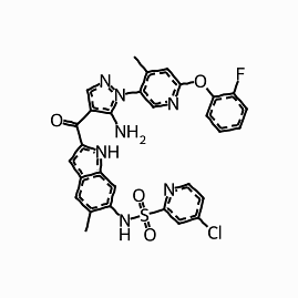 Cc1cc2cc(C(=O)c3cnn(-c4cnc(Oc5ccccc5F)cc4C)c3N)[nH]c2cc1NS(=O)(=O)c1cc(Cl)ccn1